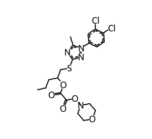 CCCC(CSc1nc(C)n(-c2ccc(Cl)c(Cl)c2)n1)OC(=O)C(=O)ON1CCOCC1